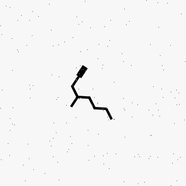 C#CCC(C)CCC[CH2]